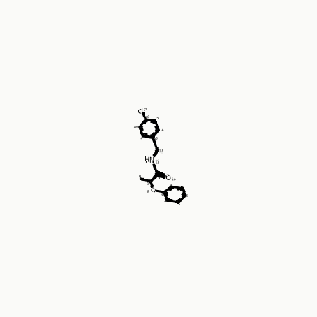 CC(Oc1ccccc1)C(=O)NCc1ccc(Cl)cc1